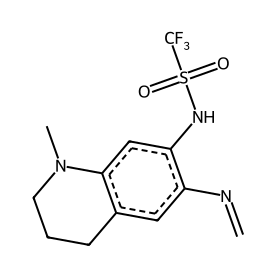 C=Nc1cc2c(cc1NS(=O)(=O)C(F)(F)F)N(C)CCC2